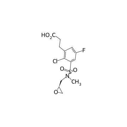 CN(C[C@H]1CO1)S(=O)(=O)c1cc(F)cc(CCC(=O)O)c1Cl